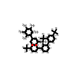 [2H]c1c([2H])c([2H])c(-c2cccc(Nc3c(-c4ccc(C(C)(C)C)cc4)cccc3-c3ccc(C(C)(C)C)cc3C(C)(C)C)c2)c([2H])c1[2H]